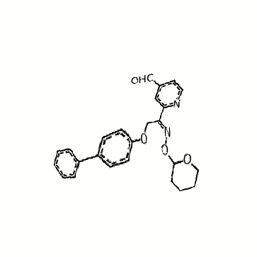 O=Cc1ccnc(/C(COc2ccc(-c3ccccc3)cc2)=N/OC2CCCCO2)c1